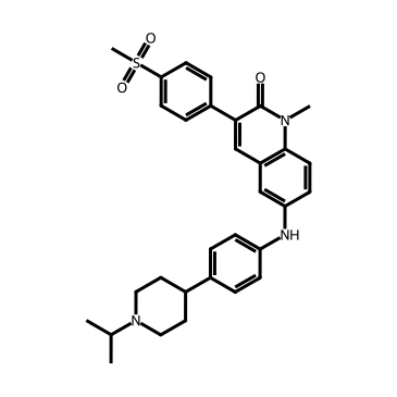 CC(C)N1CCC(c2ccc(Nc3ccc4c(c3)cc(-c3ccc(S(C)(=O)=O)cc3)c(=O)n4C)cc2)CC1